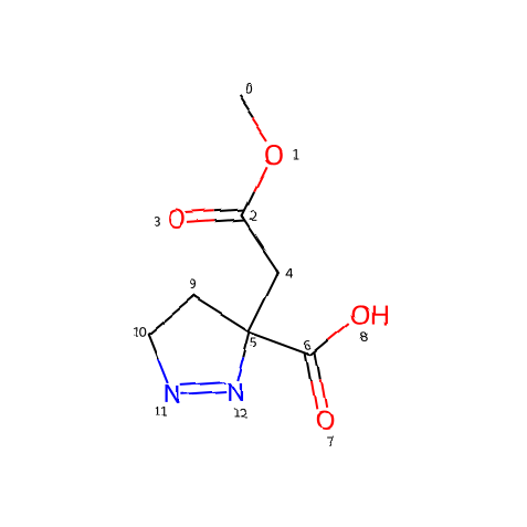 COC(=O)CC1(C(=O)O)CCN=N1